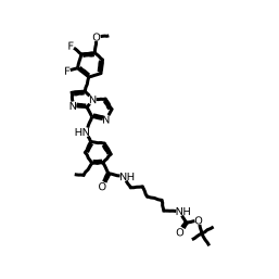 CCc1cc(Nc2nccn3c(-c4ccc(OC)c(F)c4F)cnc23)ccc1C(=O)NCCCCCNC(=O)OC(C)(C)C